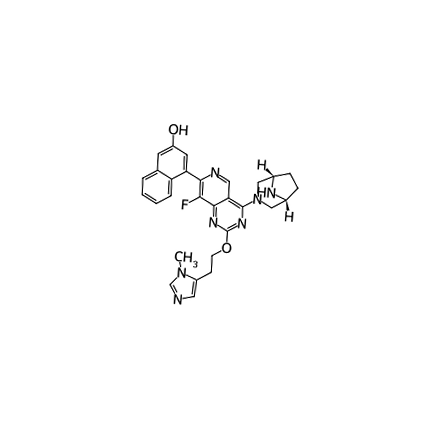 Cn1cncc1CCOc1nc(N2C[C@H]3CC[C@@H](C2)N3)c2cnc(-c3cc(O)cc4ccccc34)c(F)c2n1